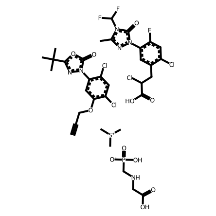 C#CCOc1cc(-n2nc(C(C)(C)C)oc2=O)c(Cl)cc1Cl.C[S+](C)C.Cc1nn(-c2cc(CC(Cl)C(=O)O)c(Cl)cc2F)c(=O)n1C(F)F.O=C(O)CNCP(=O)([O-])O